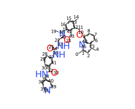 Cc1cc(C)c2cccc(OCc3c(C)ccc(N(C)C(=O)CNC(=O)Nc4cccc(C(=O)Nc5ccncc5)c4)c3C)c2n1